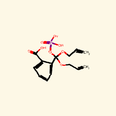 C=CCOC(OCC=C)(OP(=O)(O)O)c1ccccc1C(=O)O